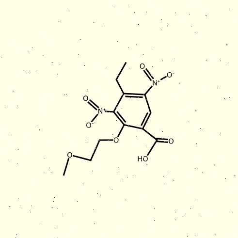 CCc1c([N+](=O)[O-])cc(C(=O)O)c(OCCOC)c1[N+](=O)[O-]